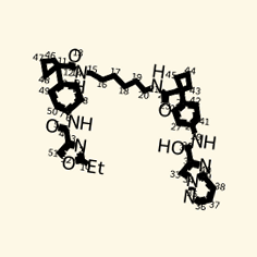 CCc1nc(C(=O)Nc2ccc(C3(C(=O)NCCCCCCNC(=O)C4(c5ccc(NC(O)c6cn7ncccc7n6)cc5)CCC4)CCC3)cc2)co1